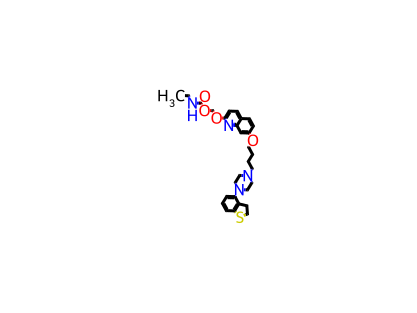 CCNC(=O)OCOc1ccc2ccc(OCCCCN3CCN(c4cccc5c4CCS5)CC3)cc2n1